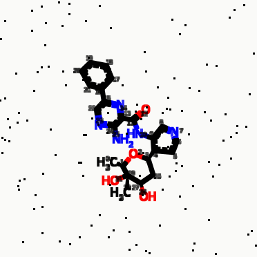 C[C@H]1O[C@@H](c2ccncc2NC(=O)c2nc(-c3ccccc3)cnc2N)C[C@@H](O)[C@]1(C)O